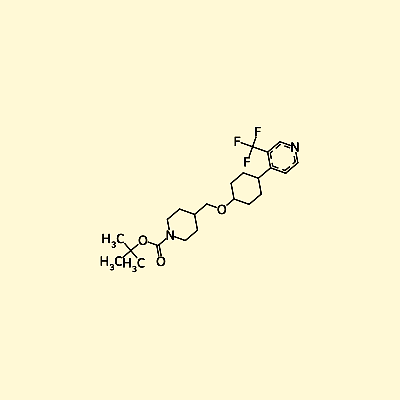 CC(C)(C)OC(=O)N1CCC(COC2CCC(c3ccncc3C(F)(F)F)CC2)CC1